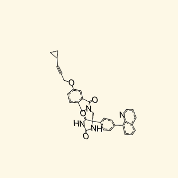 O=C1NC(=O)[C@](CN2Cc3ccc(OCC#CC4CC4)cc3C2=O)(c2ccc(-c3cccc4cccnc34)cc2)N1